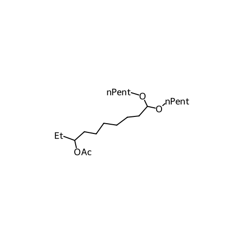 CCCCCOC(CCCCCCC(CC)OC(C)=O)OCCCCC